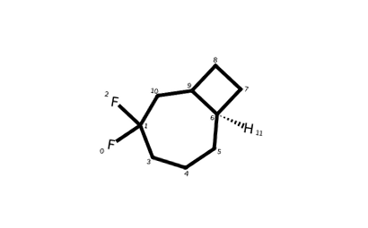 FC1(F)CCC[C@@H]2CCC2C1